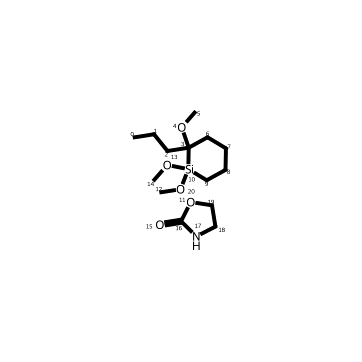 CCCC1(OC)CCCC[Si]1(OC)OC.O=C1NCCO1